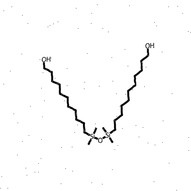 C[Si](C)(CCCCCCCCCCCO)O[Si](C)(C)CCCCCCCCCCCO